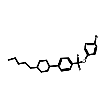 CCCCCC1CCC(c2ccc(C(F)(F)Oc3ccc(Br)cc3)cc2)CC1